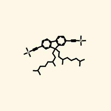 CC(C)CCCC(C)CCC1(CCC(C)CCCC(C)C)c2cc(C#C[Si](C)(C)C)ccc2-c2ccc(C#C[Si](C)(C)C)cc21